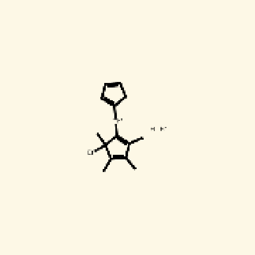 CCC1(C)C(C)=C(C)C(C)=[C]1[Ti+2][C]1=CC=CC1.[H-].[H-]